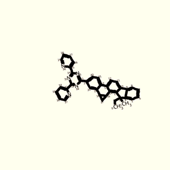 CCC1(C)c2ccccc2-c2ccc3c(c21)C1CC1c1cc(-c2nc(-c4ccccn4)nc(-c4ccccn4)n2)ccc1-3